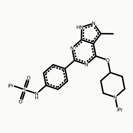 Cc1n[nH]c2nc(-c3ccc(NS(=O)(=O)C(C)C)cc3)nc(OC3CCN(C(C)C)CC3)c12